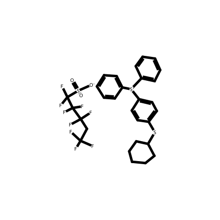 O=S(=O)([O-])C(F)(F)C(F)(F)C(F)(F)CC(F)(F)F.c1ccc([S+](c2ccccc2)c2ccc(SC3CCCCC3)cc2)cc1